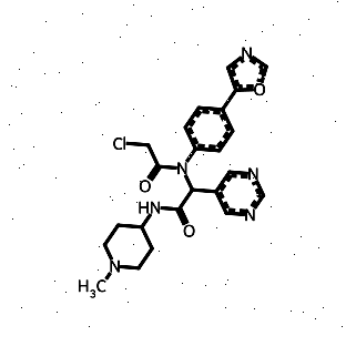 CN1CCC(NC(=O)C(c2cncnc2)N(C(=O)CCl)c2ccc(-c3cnco3)cc2)CC1